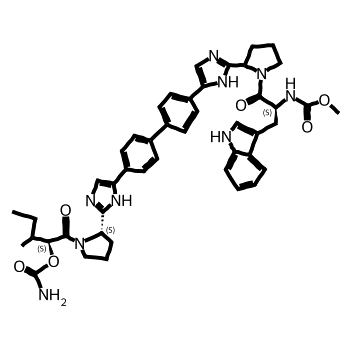 CCC(C)[C@H](OC(N)=O)C(=O)N1CCC[C@H]1c1ncc(-c2ccc(-c3ccc(-c4cnc(C5CCCN5C(=O)[C@H](Cc5c[nH]c6ccccc56)NC(=O)OC)[nH]4)cc3)cc2)[nH]1